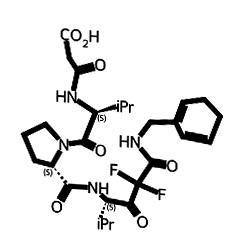 CC(C)[C@H](NC(=O)CC(=O)O)C(=O)N1CCC[C@H]1C(=O)N[C@H](C(=O)C(F)(F)C(=O)NCC1=CCCC=C1)C(C)C